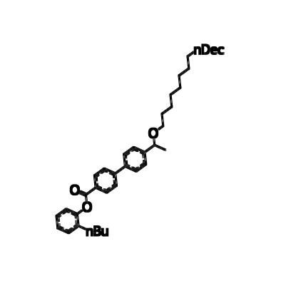 CCCCCCCCCCCCCCCCCCOC(C)c1ccc(-c2ccc(C(=O)Oc3ccccc3CCCC)cc2)cc1